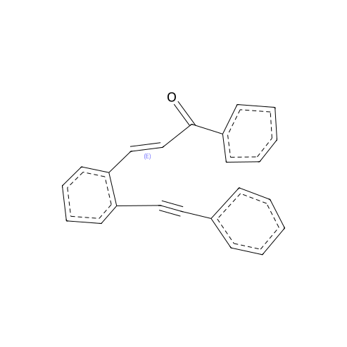 O=C(/C=C/c1ccccc1C#Cc1ccccc1)c1ccccc1